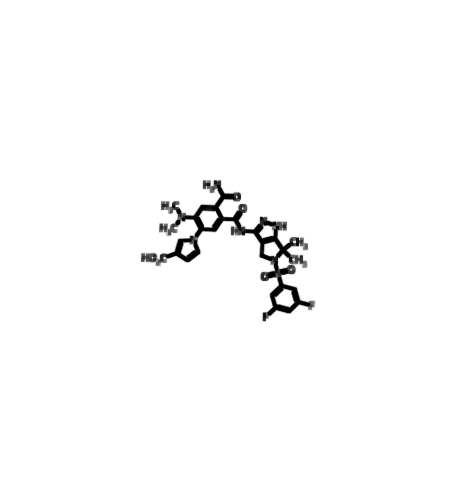 CN(C)c1cc(C(N)=O)c(C(=O)Nc2n[nH]c3c2CN(S(=O)(=O)c2cc(F)cc(F)c2)C3(C)C)cc1-n1ccc(C(=O)O)c1